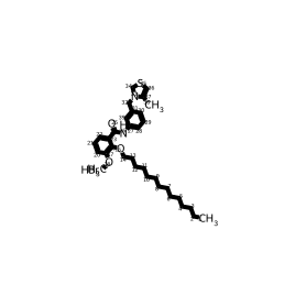 Br.CCCCCCCCCCCCCCOc1c(OC)cccc1C(=O)Nc1cccc(CN2CSC=C2C)c1